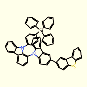 c1ccc([Si](c2ccccc2)(c2ccccc2)c2ccc(-n3c4ccccc4c4cccc(-n5c6ccccc6c6cc(-c7ccc8sc9ccccc9c8c7)ccc65)c43)cc2)cc1